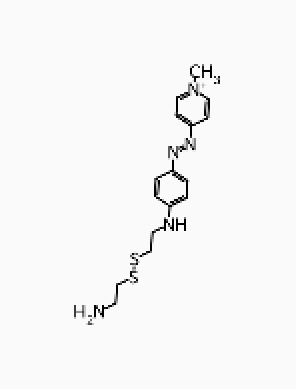 C[n+]1ccc(N=Nc2ccc(NCCSSCCN)cc2)cc1